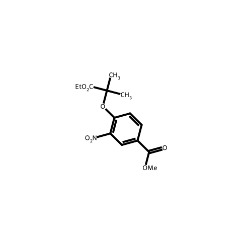 CCOC(=O)C(C)(C)Oc1ccc(C(=O)OC)cc1[N+](=O)[O-]